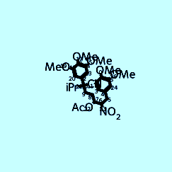 COc1ccc(CC(C(CCC(C#N)(c2cc(OC)c(OC)c(OC)c2)C(C)C)OC(C)=O)[N+](=O)[O-])cc1OC